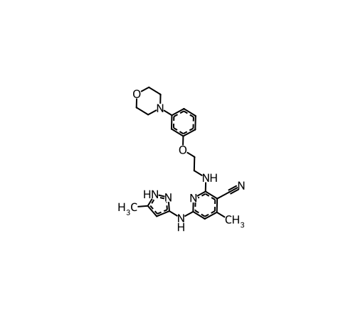 Cc1cc(Nc2cc(C)c(C#N)c(NCCOc3cccc(N4CCOCC4)c3)n2)n[nH]1